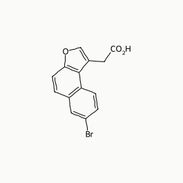 O=C(O)Cc1coc2ccc3cc(Br)ccc3c12